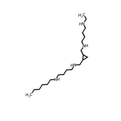 CCCCCCNCCCCNCC1CC1CNCCCCNCC